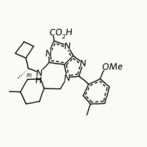 COc1ccc(C)cc1-c1nc2nc(C(=O)O)nc(N[C@H](C)C3CCC3)c2n1CC1CCC(C)CC1